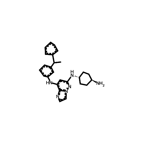 CC(c1ccccc1)c1cccc(Nc2cc(N[C@H]3CC[C@H](N)CC3)nn3ccnc23)c1